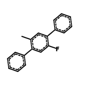 Cc1cc(-c2ccccc2)c(F)cc1-c1ccccc1